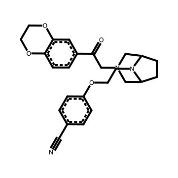 N#Cc1ccc(OCCN2C3CCC2CN(CC(=O)c2ccc4c(c2)OCCO4)C3)cc1